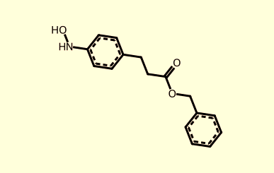 O=C(CCc1ccc(NO)cc1)OCc1ccccc1